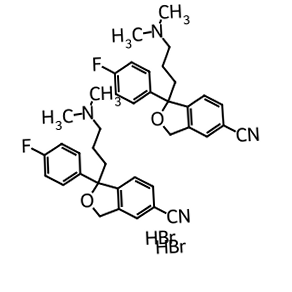 Br.Br.CN(C)CCCC1(c2ccc(F)cc2)OCc2cc(C#N)ccc21.CN(C)CCCC1(c2ccc(F)cc2)OCc2cc(C#N)ccc21